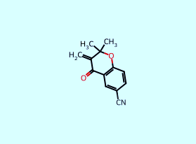 C=C1C(=O)c2cc(C#N)ccc2OC1(C)C